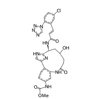 COC(=O)Nc1ccc2c(c1)NC(=O)CCC(O)C[C@H](NC(=O)/C=C/c1cc(Cl)ccc1-n1cnnn1)c1nc-2c[nH]1